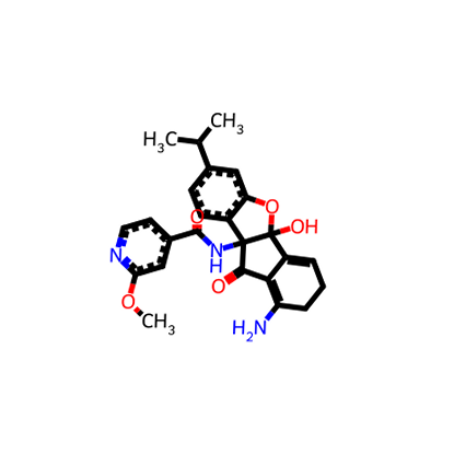 COc1cc(C(=O)NC23C(=O)C4=C(N)CCC=C4C2(O)Oc2cc(C(C)C)ccc23)ccn1